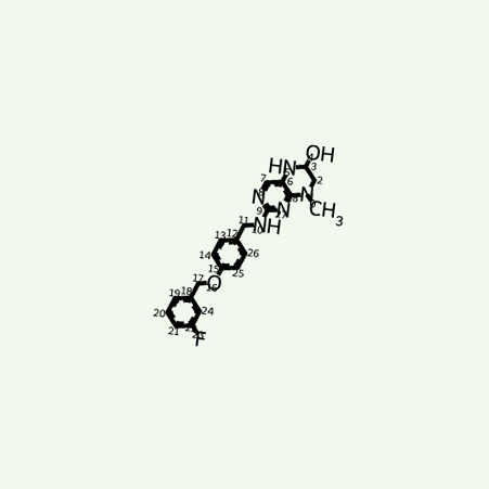 CN1CC(O)Nc2cnc(NCc3ccc(OCc4cccc(F)c4)cc3)nc21